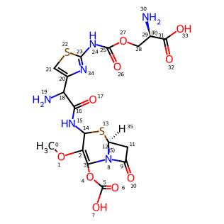 COC1=C(OC(=O)O)N2C(=O)C[C@@H]2SC1NC(=O)C(N)c1csc(NC(=O)OC[C@@H](N)C(=O)O)n1